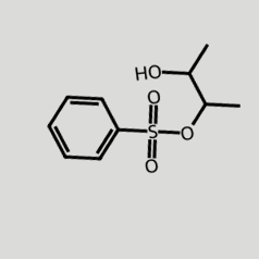 CC(O)C(C)OS(=O)(=O)c1ccccc1